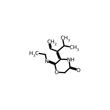 C=C/C(=C1/NC(=O)CO/C1=N/CC)C(C)C